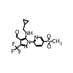 CS(=O)(=O)c1ccc(-n2nc(C(F)(F)F)c(C=O)c2NCC2CC2)nc1